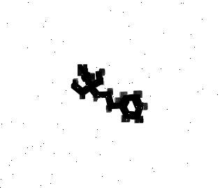 CCC(C#N)(CC)CCCc1ccccc1